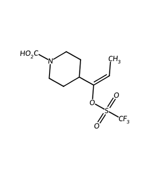 C/C=C(/OS(=O)(=O)C(F)(F)F)C1CCN(C(=O)O)CC1